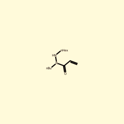 C=CC(=O)N(CCCC)NCCCCCC